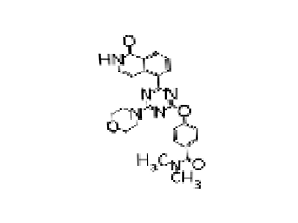 CN(C)C(=O)c1ccc(Oc2nc(-c3cccc4c(=O)[nH]ccc34)nc(N3CCOCC3)n2)cc1